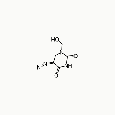 [N-]=[N+]=C1CN(CO)C(=O)NC1=O